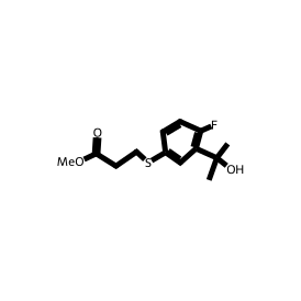 COC(=O)CCSc1ccc(F)c(C(C)(C)O)c1